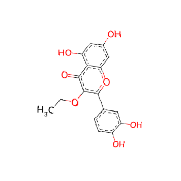 CCOc1c(-c2ccc(O)c(O)c2)oc2cc(O)cc(O)c2c1=O